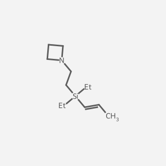 CC=C[Si](CC)(CC)CCN1CCC1